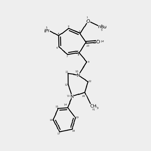 CCCCOc1cc(C(C)C)ccc(CN2CCN(c3ccccc3)C(C)C2)c1=O